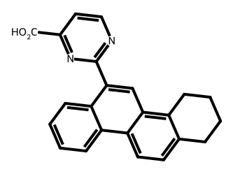 O=C(O)c1ccnc(-c2cc3c4c(ccc3c3ccccc23)CCCC4)n1